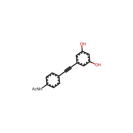 CC(=O)Nc1ccc(C#Cc2cc(O)cc(O)c2)cc1